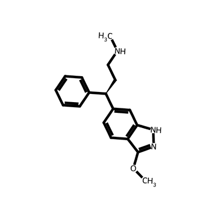 CNCC[C@H](c1ccccc1)c1ccc2c(OC)n[nH]c2c1